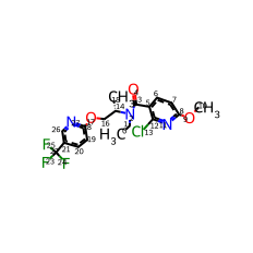 CCN(C(=O)c1ccc(OC)nc1Cl)[C@@H](C)COc1ccc(C(F)(F)F)cn1